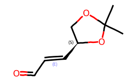 CC1(C)OC[C@H](/C=C/C=O)O1